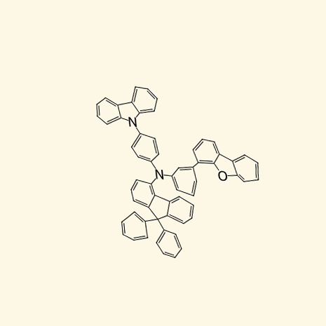 c1ccc(C2(c3ccccc3)c3ccccc3-c3c(N(c4ccc(-n5c6ccccc6c6ccccc65)cc4)c4cccc(-c5cccc6c5oc5ccccc56)c4)cccc32)cc1